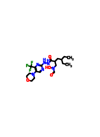 CCC(CC)CC(CN(O)C=O)C(=O)NNc1ncc(N2CCOCC2)c(C(F)(F)F)n1